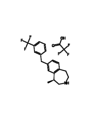 C[C@@H]1CNCCc2ccc(Cc3cccc(C(F)(F)F)c3)cc21.O=C(O)C(F)(F)F